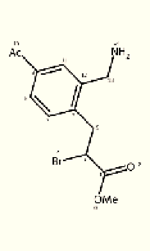 COC(=O)C(Br)Cc1ccc(C(C)=O)cc1CN